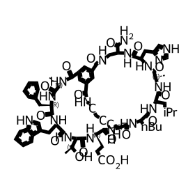 CCCCC1NC(=O)[C@@H]2CCCCNC(=O)c3cc(cc(c3)C(=O)N[C@@H](C)C(=O)N[C@H](Cc3ccccc3)C(=O)NC(Cc3c[nH]c4ccccc34)C(=O)NC([C@H](C)O)C(=O)N[C@H](CCC(=O)O)C(=O)N2)C(=O)NCC(C(N)=O)NC(=O)C(Cc2c[nH]cn2)NC(=O)[C@H](C)NC(=O)C(CC(C)C)NC1=O